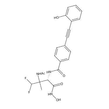 CC(=O)NC(C)(C(F)F)[C@H](NC(=O)c1ccc(C#Cc2ccccc2O)cc1)C(=O)NO